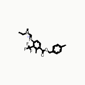 CCN(C)/C=N/c1ccc(C(=O)OCc2ccc(C)cc2)c(C)c1C(F)(F)F